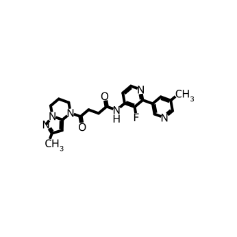 Cc1cncc(-c2nccc(NC(=O)CCC(=O)N3CCCn4nc(C)cc43)c2F)c1